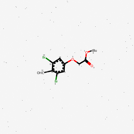 CC(C)(C)OC(=O)COc1cc(Br)c(C=O)c(Br)c1